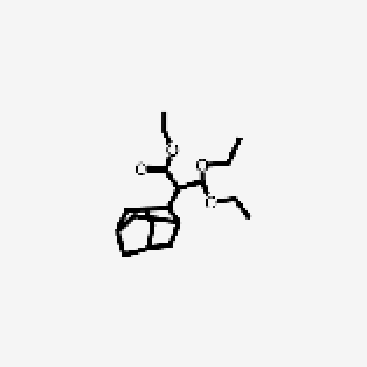 CCOC(=O)C(C(OCC)OCC)C1C2CC3CC(C2)CC1C3